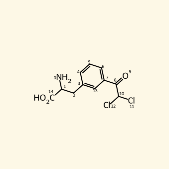 NC(Cc1cccc(C(=O)C(Cl)Cl)c1)C(=O)O